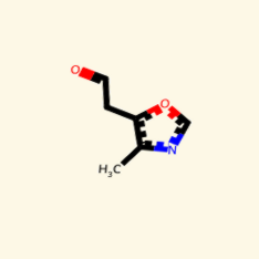 Cc1ncoc1CC=O